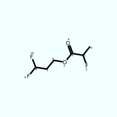 CC(F)C(=O)OCCC(F)F